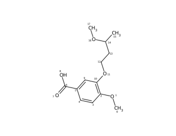 COc1ccc(C(=O)O)cc1OCCC(C)OC